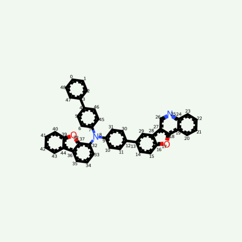 c1ccc(-c2ccc(N(c3ccc(-c4ccc5oc6c7ccccc7ncc6c5c4)cc3)c3cccc4c3oc3ccccc34)cc2)cc1